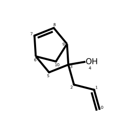 C=CCC1(O)CC2C=CC1C2